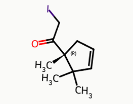 CC1(C)C=CC[C@@]1(C)C(=O)CI